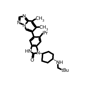 Cc1c(-c2cc3[nH]c(=O)n([C@H]4CC[C@@H](NCC(C)(C)C)CC4)c3cc2C(C)C)cn2ncnc2c1C